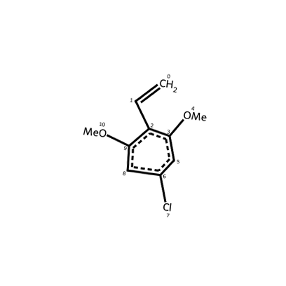 C=Cc1c(OC)cc(Cl)cc1OC